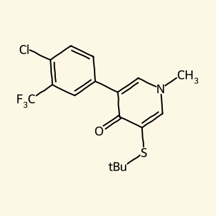 Cn1cc(SC(C)(C)C)c(=O)c(-c2ccc(Cl)c(C(F)(F)F)c2)c1